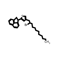 CCCCCCCCCCC(Br)Cc1csc(C2Cc3cccc4cccc2c34)c1